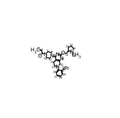 C=CC(=O)N1CCN(c2nc(OCC3CCCN3C)nc3c2CCN(c2ccccc2C(C)C)C3)CC1